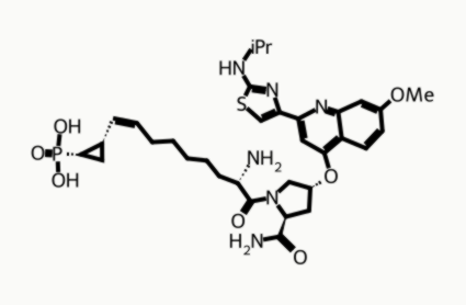 COc1ccc2c(O[C@@H]3C[C@@H](C(N)=O)N(C(=O)[C@@H](N)CCCCC/C=C\[C@@H]4C[C@@H]4P(=O)(O)O)C3)cc(-c3csc(NC(C)C)n3)nc2c1